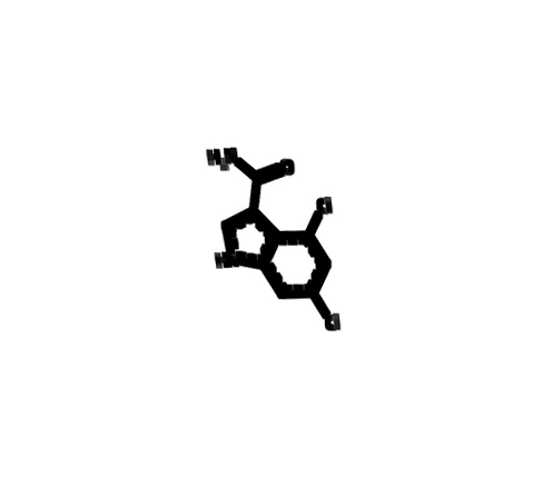 NC(=O)c1c[nH]c2cc(Cl)cc(Cl)c12